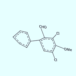 COc1c(Cl)cc(-c2ccccc2)c(C=O)c1Cl